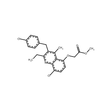 CCc1nc2c(Cl)ccc(OCC(=O)OC)c2c(C)c1Cc1ccc(Cl)cc1